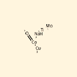 [Cu].[Mo].[NaH].[O]=[Co].[Ti]